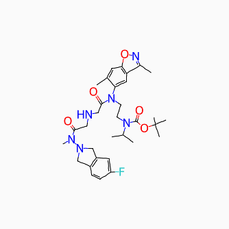 Cc1cc2onc(C)c2cc1N(CCN(C(=O)OC(C)(C)C)C(C)C)C(=O)CNCC(=O)N(C)N1Cc2ccc(F)cc2C1